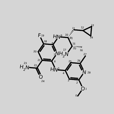 COc1cc(Nc2nc(N[C@H](CC3CC3)[C@H](C)N)c(F)cc2C(N)=O)cc(C)n1